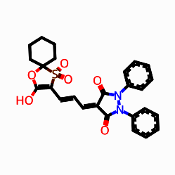 O=C1C(=CC=CC2=C(O)OC3(CCCCC3)S2(=O)=O)C(=O)N(c2ccccc2)N1c1ccccc1